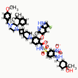 COc1ccc(CN2CCN(C3CC4(CCN(c5ccc(C(=O)NS(=O)(=O)c6ccc(NC[C@H]7CC[C@](C)(O)CC7)c([N+](=O)[O-])c6)c(Oc6cc7c(F)c[nH]c7nc6C)c5)CC4)C3)[C@H](c3ccccc3C(C)C)C2)cc1